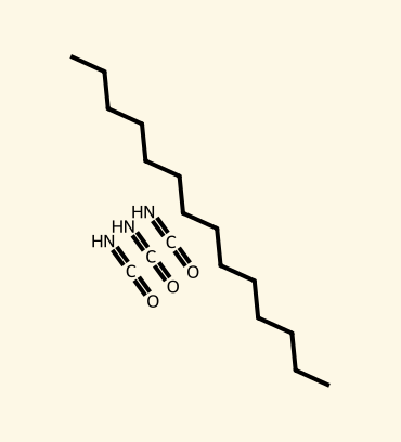 CCCCCCCCCCCCCC.N=C=O.N=C=O.N=C=O